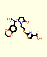 NC(c1ccc2c(c1)OCCO2)[C@H]1CCC(=O)N1CCSc1nc(C(=O)O)cs1